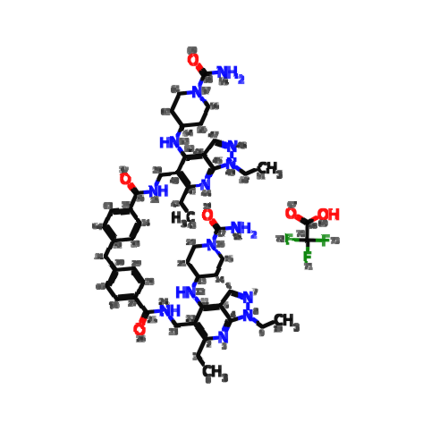 CCc1nc2c(cnn2CC)c(NC2CCN(C(N)=O)CC2)c1CNC(=O)c1ccc(Cc2ccc(C(=O)NCc3c(CC)nc4c(cnn4CC)c3NC3CCN(C(N)=O)CC3)cc2)cc1.O=C(O)C(F)(F)F